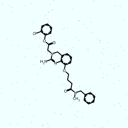 CN(Cc1ccccc1)C(=O)CCCOc1cccc2c1N=C(N)N(CC(=O)Oc1ccccc1Cl)C2